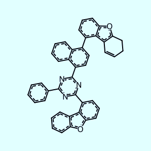 C1=Cc2c(oc3cccc(-c4ccc(-c5nc(-c6ccccc6)nc(-c6cccc7oc8ccccc8c67)n5)c5ccccc45)c23)CC1